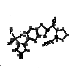 N#CN1CCCC1C(=O)N1Cc2ccc(-c3c[nH]nc3C(F)(F)F)cc2C1